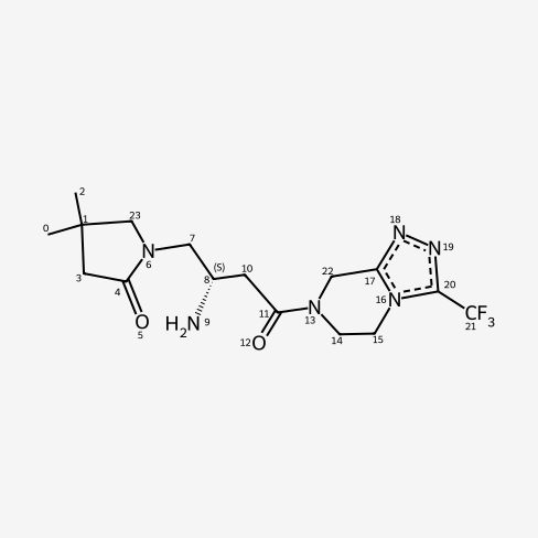 CC1(C)CC(=O)N(C[C@@H](N)CC(=O)N2CCn3c(nnc3C(F)(F)F)C2)C1